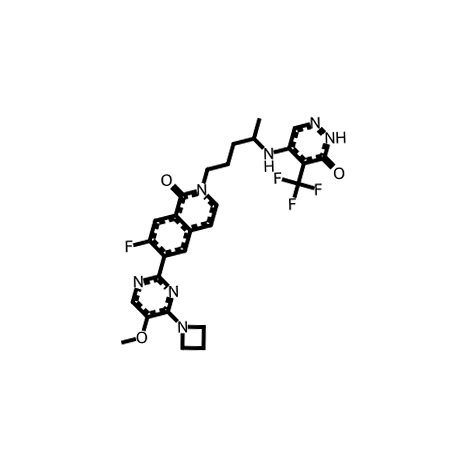 COc1cnc(-c2cc3ccn(CCCC(C)Nc4cn[nH]c(=O)c4C(F)(F)F)c(=O)c3cc2F)nc1N1CCC1